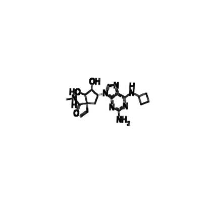 C=C[C@]1(C(=O)NC)C[C@@H](n2cnc3c(NC4CCC4)nc(N)nc32)C(O)C1O